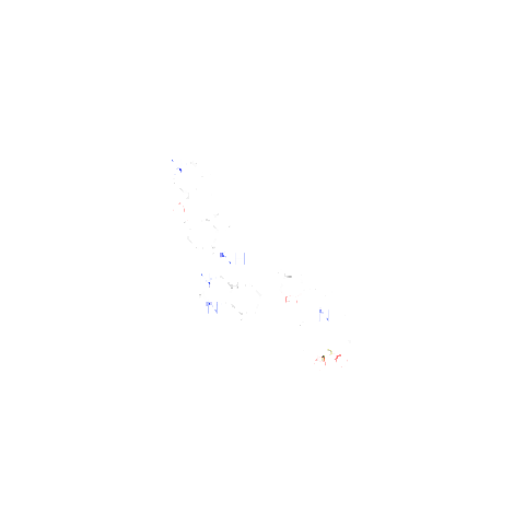 Cc1ccc(Oc2ccc(Nc3ncnc4ccc(-c5ccc(CN6CCS(=O)(=O)CC6)o5)cc34)cc2C)cn1